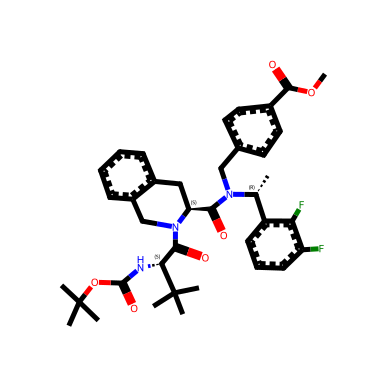 COC(=O)c1ccc(CN(C(=O)[C@@H]2Cc3ccccc3CN2C(=O)[C@@H](NC(=O)OC(C)(C)C)C(C)(C)C)[C@H](C)c2cccc(F)c2F)cc1